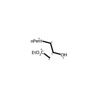 CCCCCCCO.CCOC(C)=O